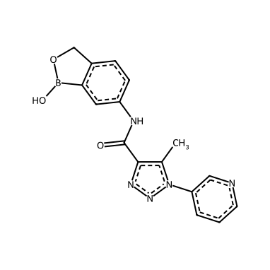 Cc1c(C(=O)Nc2ccc3c(c2)B(O)OC3)nnn1-c1cccnc1